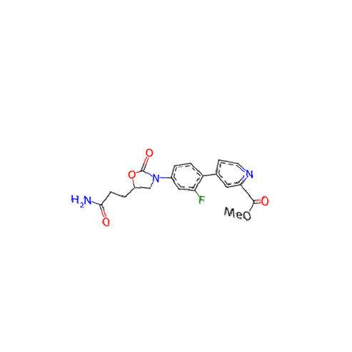 COC(=O)c1cc(-c2ccc(N3CC(CCC(N)=O)OC3=O)cc2F)ccn1